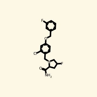 NC(=O)C1CC(F)CN1Cc1ccc(OCc2cccc(F)c2)cc1Cl